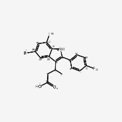 CC(CC(=O)O)c1c(-c2ccc(F)cc2)[nH]c2c(F)cc(Br)cc12